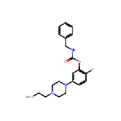 CCc1ccc(N2CCN(CCOC)CC2)cc1OC(=O)NCc1ccccc1